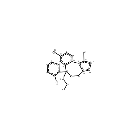 CCOC1(c2ccccc2Cl)OCc2nnc(C)n2-c2ccc(Cl)cc21